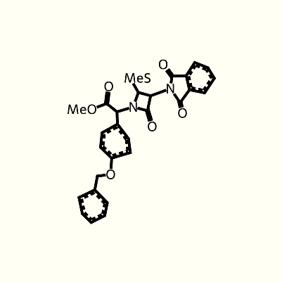 COC(=O)C(c1ccc(OCc2ccccc2)cc1)N1C(=O)C(N2C(=O)c3ccccc3C2=O)C1SC